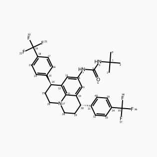 CC(C)(C)NC(=O)Nc1cc2c3c(c1)[C@H](c1ccc(C(F)(F)F)cc1)CCN3CC[C@H]2c1ccc(C(F)(F)F)cc1